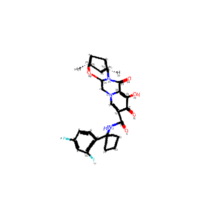 O=C(NC1(c2ccc(F)cc2F)CCC1)c1cn2c(c(O)c1=O)C(=O)N1C(C2)O[C@H]2CC[C@@H]1C2